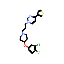 Clc1ccc(OC2CCN(CCCN3C=CC(c4ccsc4)=NC3)CC2)cc1Cl